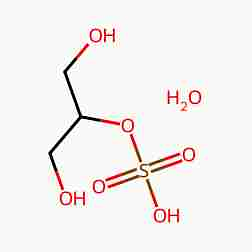 O.O=S(=O)(O)OC(CO)CO